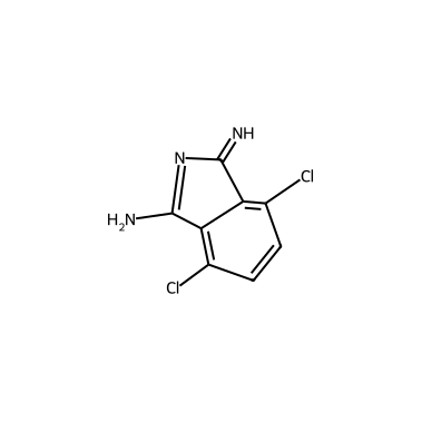 N=C1N=C(N)c2c(Cl)ccc(Cl)c21